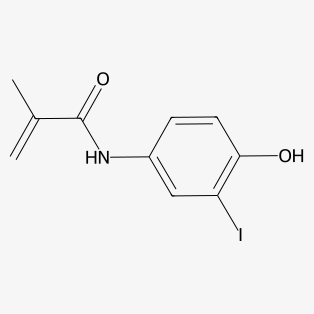 C=C(C)C(=O)Nc1ccc(O)c(I)c1